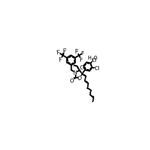 CCCCCCCCC1(c2ccc(Cl)c(Cl)c2)OC(=O)N(Cc2cc(C(F)(F)F)cc(C(F)(F)F)c2)C1(Cl)CC.O